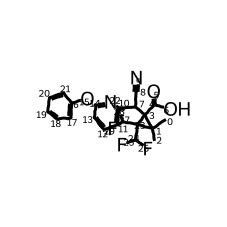 CC1(C)C(C(=O)O)(C(C#N)c2cccc(Oc3ccccc3)n2)C1(C(F)F)C(F)F